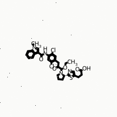 CCOC(C(=O)Cc1cc(Cl)c(NC(=O)c2cn(C)c3ccccc23)cc1Cl)N1CCC[C@H]1c1ncc(CCC(=O)O)s1